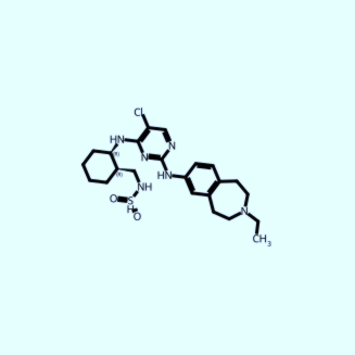 CCN1CCc2ccc(Nc3ncc(Cl)c(N[C@@H]4CCCC[C@@H]4CN[SH](=O)=O)n3)cc2CC1